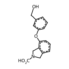 O=C(O)N1Cc2cccc(Oc3cccc(CO)c3)c2C1